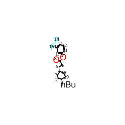 CCCC[C@H]1CC[C@H](CCC(=O)Oc2ccc(F)c(F)c2)CC1